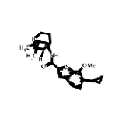 COc1c(C2CC2)ccc2cc(C(=O)N[C@H]3C4CCN(CC4)C3(C)C)sc12